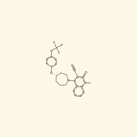 Cn1c(=O)c(C#N)c(N2CCC[C@H](Oc3ccc(OC(F)(F)F)cc3)CC2)c2ccccc21